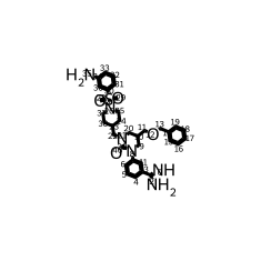 N=C(N)c1cccc(N2CC(COCc3ccccc3)CN(CC3CCN(S(=O)(=O)c4cccc(N)c4)CC3)C2=O)c1